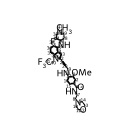 COc1cc(C(=O)NCCN2CCOCC2)ccc1NCC#Cc1cc2c(N[C@@H]3CCN(C)C[C@@H]3F)cccc2n1CC(F)(F)F